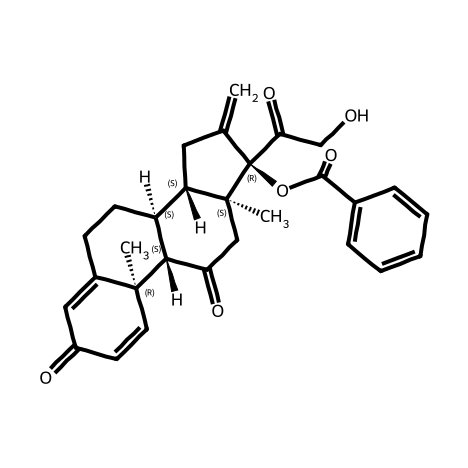 C=C1C[C@H]2[C@@H]3CCC4=CC(=O)C=C[C@]4(C)[C@H]3C(=O)C[C@]2(C)[C@@]1(OC(=O)c1ccccc1)C(=O)CO